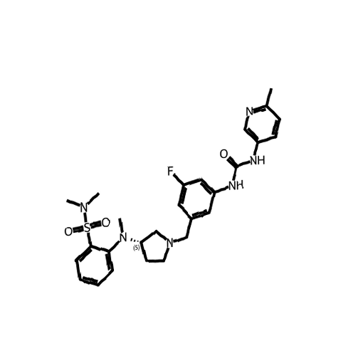 Cc1ccc(NC(=O)Nc2cc(F)cc(CN3CC[C@H](N(C)c4ccccc4S(=O)(=O)N(C)C)C3)c2)cn1